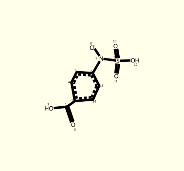 O=C(O)c1ccc(N(Cl)S(=O)(=O)O)cc1